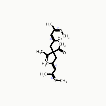 C/N=C(C)\C=C(/C)CC(C/C(C)=C/C(C)=N\C)(C(C)=O)C(C)=O